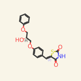 O=C1NC(=O)/C(=C/c2ccc(OC[C@H](O)COc3ccccc3)cc2)S1